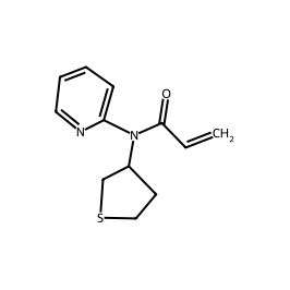 C=CC(=O)N(c1ccccn1)C1CCSC1